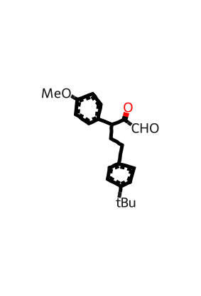 COc1ccc(C(CCc2ccc(C(C)(C)C)cc2)C(=O)C=O)cc1